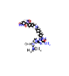 CN(C)CCN(C=O)C1CCCN(c2cnc(C(N)=O)c(Nc3ccc(C4CCC5(CC4)CN(CC4Cc6ccc7c(C8CCC(=O)NC8=O)noc7c6C4)C5)cc3)n2)C1